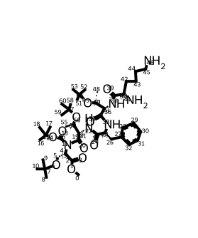 COC(=O)[C@H](COC(C)(C)C)N(C(=O)OC(C)(C)C)C(=O)[C@@H](NC(=O)[C@H](Cc1ccccc1)NC(=O)[C@@H](NC(=O)[C@@H](N)CCCCN)[C@@H](C)OC(C)(C)C)[C@@H](C)OC(C)(C)C